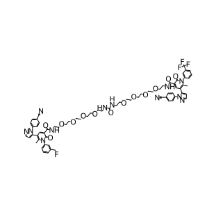 Cc1c(-c2ccnn2-c2ccc(C#N)cc2)cc(C(=O)NCCOCCOCCOCCOCCNC(=O)NCCOCCOCCOCCOCCNC(=O)c2cc(-c3ccnn3-c3ccc(C#N)cc3)c(C)n(-c3cccc(C(F)(F)F)c3)c2=O)c(=O)n1-c1cccc(CF)c1